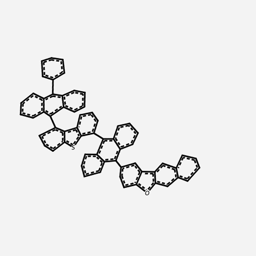 c1ccc(-c2c3ccccc3c(-c3cccc4sc5c(-c6c7ccccc7c(-c7ccc8oc9cc%10ccccc%10cc9c8c7)c7ccccc67)cccc5c34)c3ccccc23)cc1